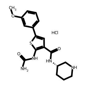 COc1cccc(-c2cc(C(=O)N[C@H]3CCCNC3)c(NC(N)=O)s2)c1.Cl